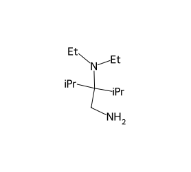 CCN(CC)C(CN)(C(C)C)C(C)C